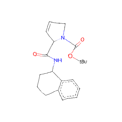 CC(C)(C)OC(=O)N1CC=CC1C(=O)NC1CCCc2ccccc21